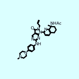 C=CCn1c(=O)c2cnc(Nc3ccc(N4CCN(C)CC4)cc3)nc2n1-c1ccc2c(n1)[C@](C)(NC(C)=O)CCC2